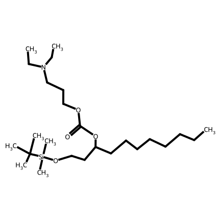 CCCCCCCCC(CCO[Si](C)(C)C(C)(C)C)OC(=O)OCCCN(CC)CC